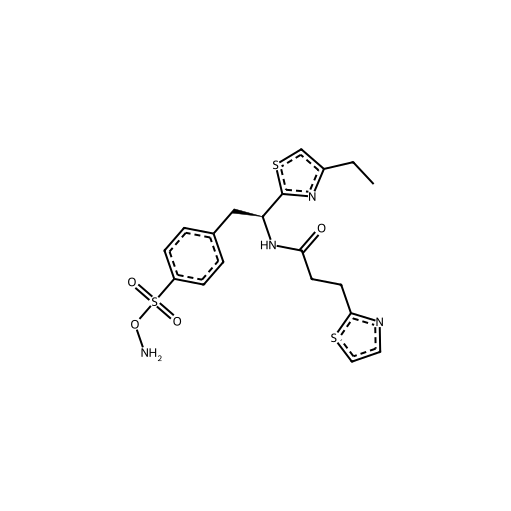 CCc1csc([C@H](Cc2ccc(S(=O)(=O)ON)cc2)NC(=O)CCc2nccs2)n1